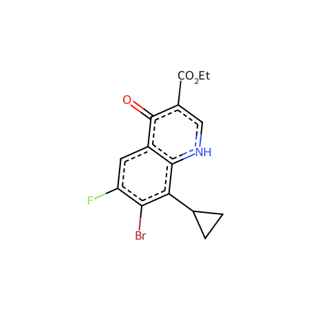 CCOC(=O)c1c[nH]c2c(C3CC3)c(Br)c(F)cc2c1=O